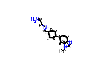 CC(C)n1cnc2ccc(-c3ccc(CNCCN)cc3)cc21